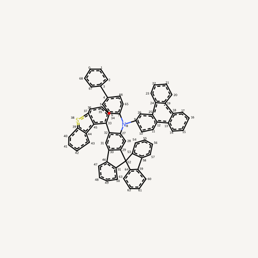 c1ccc(-c2ccc(N(c3ccc4c5ccccc5c5ccccc5c4c3)c3cc4c(cc3-c3cccc5sc6ccccc6c35)-c3ccccc3C43c4ccccc4-c4ccccc43)cc2)cc1